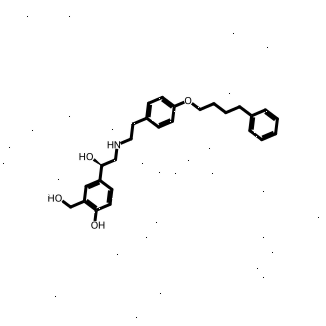 OCc1cc([C@@H](O)CNCCc2ccc(OCCCCc3ccccc3)cc2)ccc1O